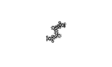 O=C1C(=Cc2cc3c(s2)C2=CC4C=C5C(=CC4C=C2C32CCCCC2)c2sc(C=C3C(=O)c4cc(F)c(F)cc4C3=O)cc2C52CCCCC2)C(=O)c2cc(F)c(F)cc21